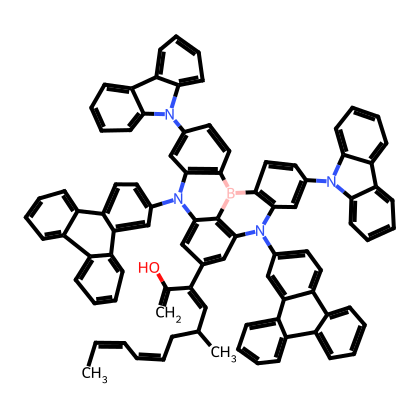 C=C(O)/C(=C\C(C)C/C=C\C=C/C)c1cc2c3c(c1)N(c1ccc4c5ccccc5c5ccccc5c4c1)c1cc(-n4c5ccccc5c5ccccc54)ccc1B3c1ccc(-n3c4ccccc4c4ccccc43)cc1N2c1ccc2c3ccccc3c3ccccc3c2c1